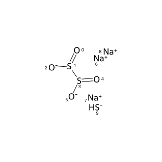 O=S([O-])S(=O)[O-].[Na+].[Na+].[Na+].[SH-]